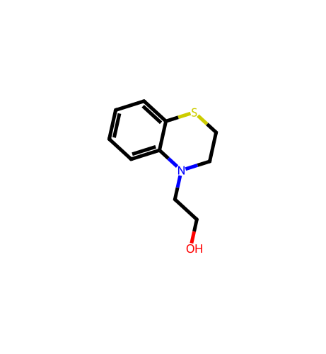 OCCN1CCSc2ccccc21